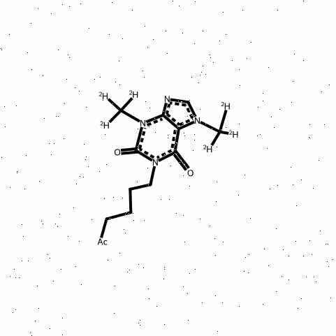 [2H]C([2H])([2H])n1cnc2c1c(=O)n(CCCCC(C)=O)c(=O)n2C([2H])([2H])[2H]